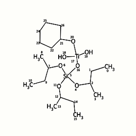 CCC(C)O[Si](OC(C)CC)(OC(C)CC)[O][Ti]([OH])([OH])[O]C1CCCCC1